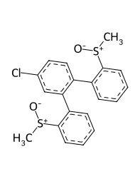 C[S+]([O-])c1ccccc1-c1ccc(Cl)cc1-c1ccccc1[S+](C)[O-]